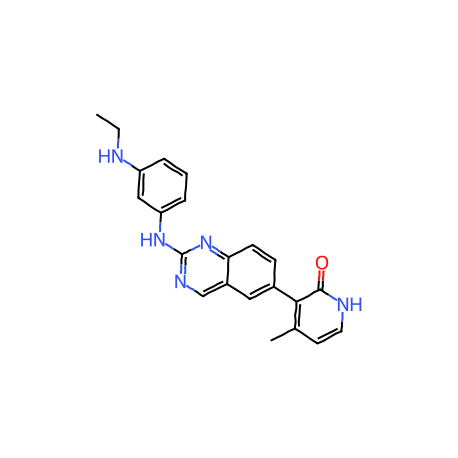 CCNc1cccc(Nc2ncc3cc(-c4c(C)cc[nH]c4=O)ccc3n2)c1